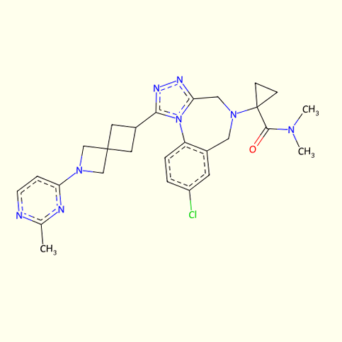 Cc1nccc(N2CC3(CC(c4nnc5n4-c4ccc(Cl)cc4CN(C4(C(=O)N(C)C)CC4)C5)C3)C2)n1